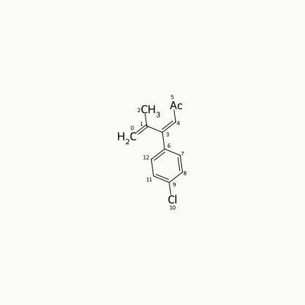 C=C(C)/C(=C\C(C)=O)c1ccc(Cl)cc1